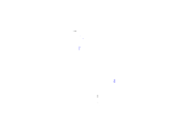 O=C1C=CC(=O)N1Nc1ccc(Nc2ccccc2)cc1